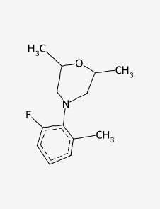 Cc1cccc(F)c1N1CC(C)OC(C)C1